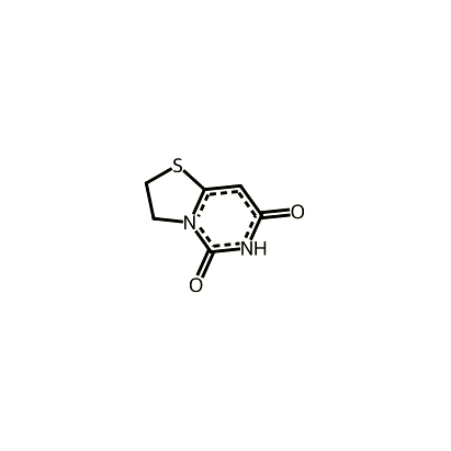 O=c1cc2n(c(=O)[nH]1)CCS2